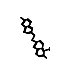 Cc1ccc2cc(CCc3ccc4c(I)c(C)ccc4c3)ccc2c1